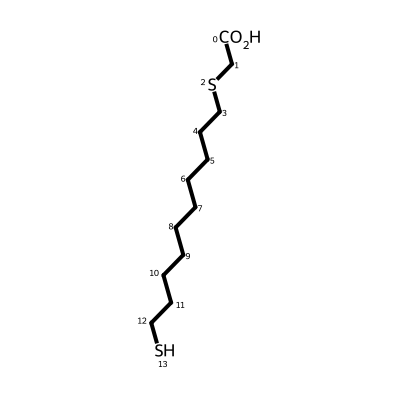 O=C(O)CSCCCCCCCCCCS